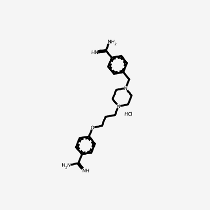 Cl.N=C(N)c1ccc(CN2CCN(CCCOc3ccc(C(=N)N)cc3)CC2)cc1